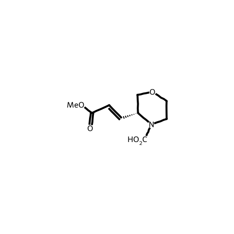 COC(=O)/C=C/[C@@H]1COCCN1C(=O)O